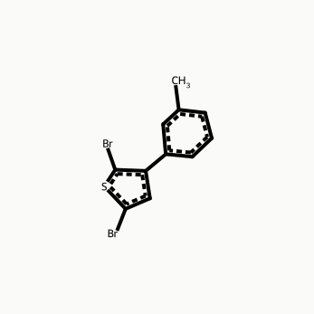 Cc1cccc(-c2cc(Br)sc2Br)c1